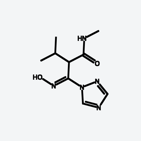 CNC(=O)C(C(=NO)n1cncn1)C(C)C